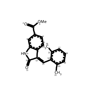 COC(=O)c1ccc2c(c1)NC(=O)/C2=C/c1c(C)cccc1C